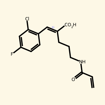 C=CC(=O)NCCC/C(=C\c1ccc(F)cc1Cl)C(=O)O